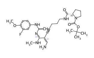 C=C(/N=C(NC)\C(C#CCCCNC(=O)[C@@H]1CCCN1C(=O)OC(C)(C)C)=C/N)Nc1ccc(OC)c(F)c1